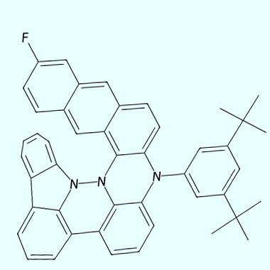 CC(C)(C)c1cc(-n2c3cccc4c3-n(c3c5cc6ccc(F)cc6cc5ccc32)n2c3ccccc3c3cccc4c32)cc(C(C)(C)C)c1